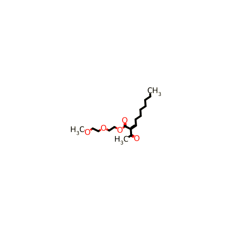 CCCCCCC/C=C(/C(C)=O)C(=O)OCCOCCOC